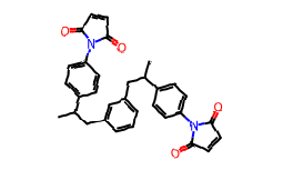 CC(Cc1cccc(CC(C)c2ccc(N3C(=O)C=CC3=O)cc2)c1)c1ccc(N2C(=O)C=CC2=O)cc1